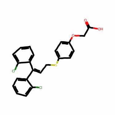 O=C(O)COc1ccc(SCC=C(c2ccccc2Cl)c2ccccc2Cl)cc1